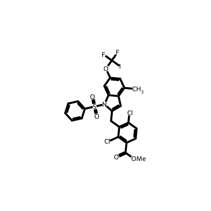 COC(=O)c1ccc(Cl)c(Cc2cc3c(C)cc(OC(F)(F)I)cc3n2S(=O)(=O)c2ccccc2)c1Cl